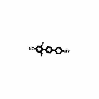 CCCC1CCC(c2ccc(-c3c(F)cc(C#N)cc3F)cc2)CC1